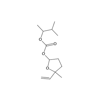 C=CC1(C)CCC(OC(=O)OC(C)C(C)C)O1